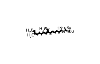 C=CC(=C)CCCCCC(C=C)CCCCCC(=N)OC(CCCC)CCCC